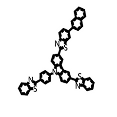 c1ccc2cc(-c3ccc4nc(-c5ccc6c(c5)c5cc(-c7nc8ccccc8s7)ccc5n6-c5ccc(-c6nc7ccccc7s6)cc5)sc4c3)ccc2c1